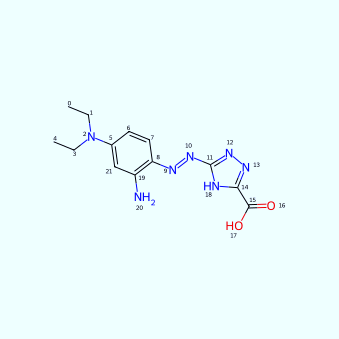 CCN(CC)c1ccc(N=Nc2nnc(C(=O)O)[nH]2)c(N)c1